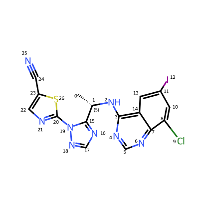 C[C@H](Nc1ncnc2c(Cl)cc(I)cc12)c1ncnn1-c1ncc(C#N)s1